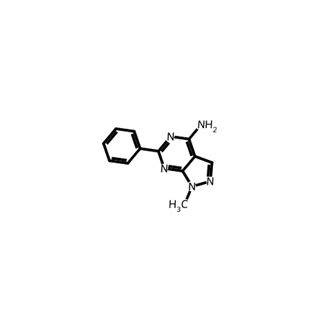 Cn1ncc2c(N)nc(-c3ccccc3)nc21